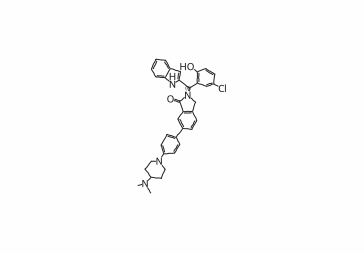 CN(C)C1CCN(c2ccc(-c3ccc4c(c3)C(=O)N([C@@H](c3cc5ccccc5[nH]3)c3cc(Cl)ccc3O)C4)cc2)CC1